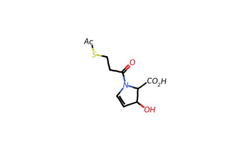 CC(=O)SCCC(=O)N1C=CC(O)C1C(=O)O